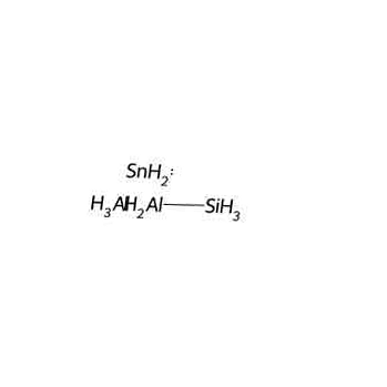 [AlH2][SiH3].[AlH3].[SnH2]